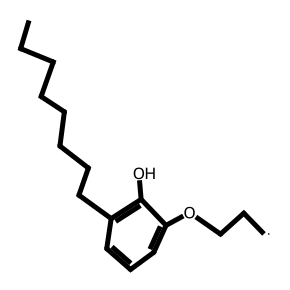 [CH2]CCOc1cccc(CCCCCCCC)c1O